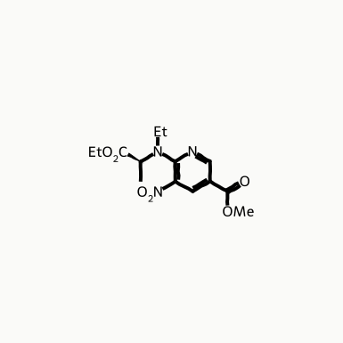 CCOC(=O)[C@H](C)N(CC)c1ncc(C(=O)OC)cc1[N+](=O)[O-]